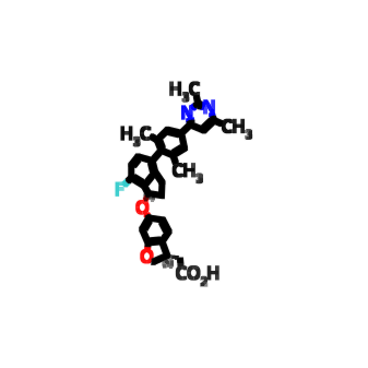 Cc1cc(-c2cc(C)c(-c3ccc(F)c4c3CC[C@H]4Oc3ccc4c(c3)OC[C@H]4CC(=O)O)c(C)c2)nc(C)n1